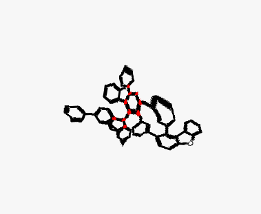 c1ccc(-c2ccc3c(c2)c2ccccc2n3-c2c(-c3cccc(-c4ccc5oc6ccccc6c5c4-c4cccc(-c5nc(-c6ccccc6)nc(-c6ccccc6)n5)c4)c3)ccc3oc4ccccc4c23)cc1